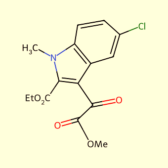 CCOC(=O)c1c(C(=O)C(=O)OC)c2cc(Cl)ccc2n1C